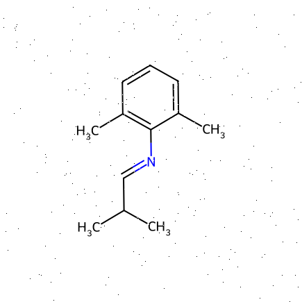 Cc1cccc(C)c1N=CC(C)C